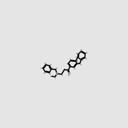 CCN(CCC(=O)c1ccc2c(c1)Cc1ccccc1-2)Cc1ccccc1